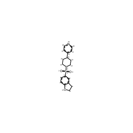 O=S(=O)(c1ccc2c(c1)CCO2)N1CCC(c2ccncc2)CC1